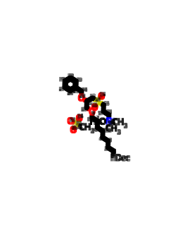 CCCCCCCCCCCCCCCCCCOCC(CS(=O)(=O)CCC[N+](C)(C)C)OCc1ccccc1.CS(=O)(=O)[O-]